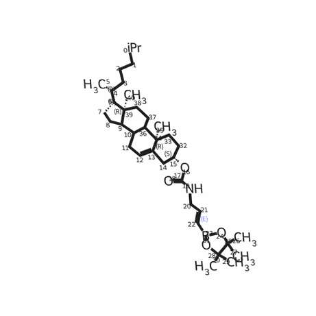 CC(C)CCC[C@@H](C)[C@H]1CCC2C3CC=C4C[C@@H](OC(=O)NC/C=C/B5OC(C)(C)C(C)(C)O5)CC[C@]4(C)C3CC[C@@]21C